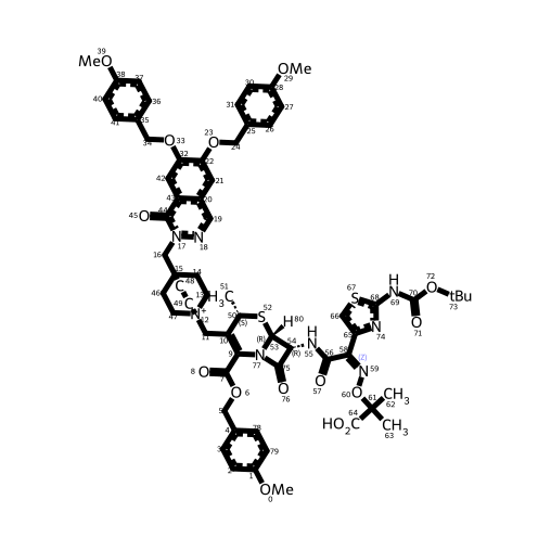 COc1ccc(COC(=O)C2=C(C[N+]34CCC(Cn5ncc6cc(OCc7ccc(OC)cc7)c(OCc7ccc(OC)cc7)cc6c5=O)(CC3)CC4)[C@H](C)S[C@@H]3[C@H](NC(=O)/C(=N\OC(C)(C)C(=O)O)c4csc(NC(=O)OC(C)(C)C)n4)C(=O)N23)cc1